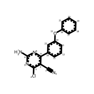 N#Cc1c(Cl)nc(N)nc1-c1cccc(Oc2ccccc2)c1